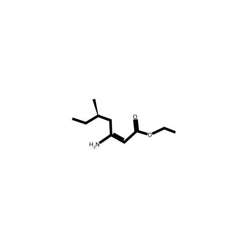 CCOC(=O)/C=C(/N)C[C@H](C)CC